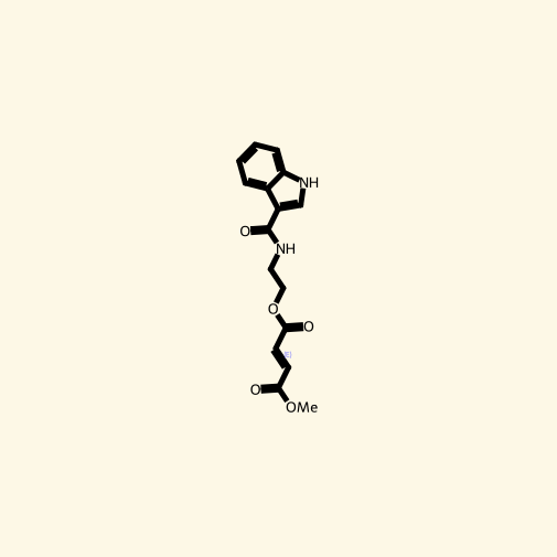 COC(=O)/C=C/C(=O)OCCNC(=O)c1c[nH]c2ccccc12